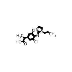 CCCn1ccsc1=Nc1c(Cl)cc(C(C)C(=O)O)cc1Cl